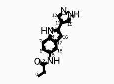 CCC(=O)Nc1ccc2[nH]c(-c3cn[nH]c3)cc2c1